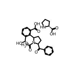 NC(=O)N1C(C(=O)c2ccccc2)CCC1c1c(C(=O)O)cccc1C(=O)O.O=C(O)[C@@H]1CCCN1